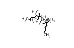 CCCCCC(CC)(CC)[SiH2]O[SiH2]C(CC)(CC)CCCCC